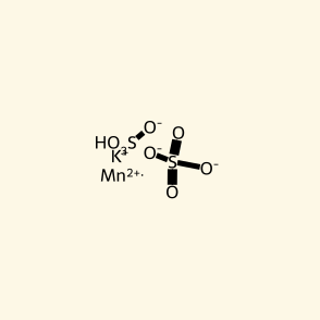 O=S(=O)([O-])O.O=S(=O)([O-])[O-].[K+].[Mn+2]